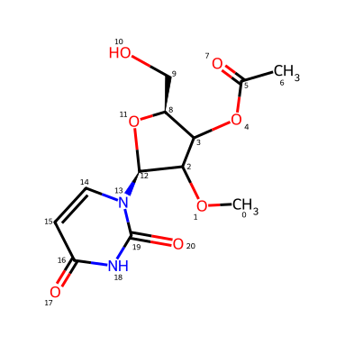 COC1C(OC(C)=O)[C@H](CO)O[C@@H]1n1ccc(=O)[nH]c1=O